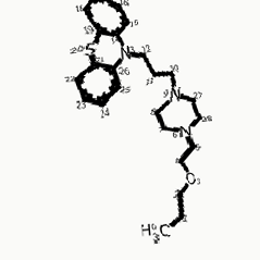 CCCOCCN1CCN(CCCN2c3ccccc3Sc3ccccc32)CC1